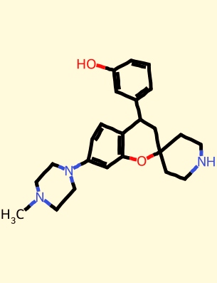 CN1CCN(c2ccc3c(c2)OC2(CCNCC2)CC3c2cccc(O)c2)CC1